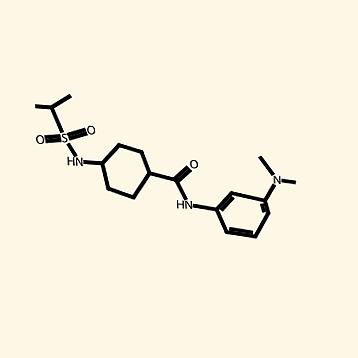 CC(C)S(=O)(=O)NC1CCC(C(=O)Nc2cccc(N(C)C)c2)CC1